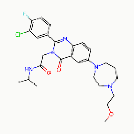 COCCN1CCCN(c2ccc3nc(-c4ccc(F)c(Cl)c4)n(CC(=O)NC(C)C)c(=O)c3c2)CC1